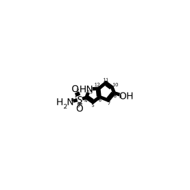 NS(=O)(=O)c1cc2cc(O)ccc2[nH]1